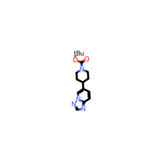 CC(C)(C)OC(=O)N1CCC(c2ccc3ncnn3c2)CC1